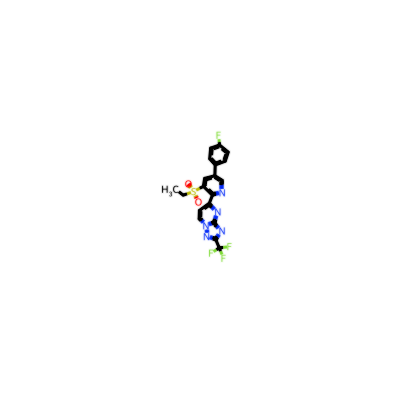 CCS(=O)(=O)c1cc(-c2ccc(F)cc2)cnc1-c1ccn2nc(C(F)(F)F)nc2n1